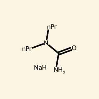 CCCN(CCC)C(N)=O.[NaH]